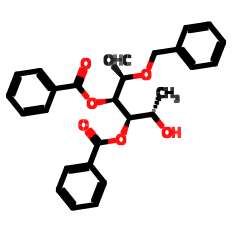 C[C@H](O)[C@@H](OC(=O)c1ccccc1)[C@@H](OC(=O)c1ccccc1)[C@@H](C=O)OCc1ccccc1